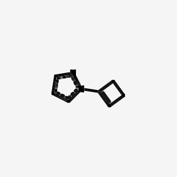 C1=C(n2cccn2)CC1